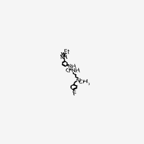 CCn1nnc(-c2cccc(NC(=O)NCCCCN(C)Cc3ccc(F)cc3)c2)n1